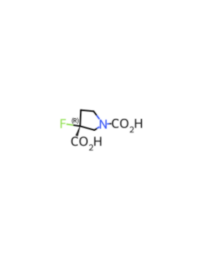 O=C(O)N1CC[C@](F)(C(=O)O)C1